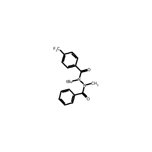 CN(C(=O)c1ccccc1)N(C(=O)c1ccc(C(F)(F)F)cc1)C(C)(C)C